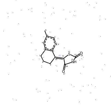 Cc1cnc2c(c1)CCC/C2=C1/SC(=O)NC1=O